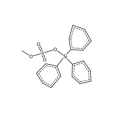 COS(=O)(=O)O[Si](c1ccccc1)(c1ccccc1)c1ccccc1